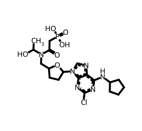 CC(O)N(CC1CCC(n2cnc3c(NC4CCCC4)nc(Cl)nc32)O1)C(=O)CP(=O)(O)O